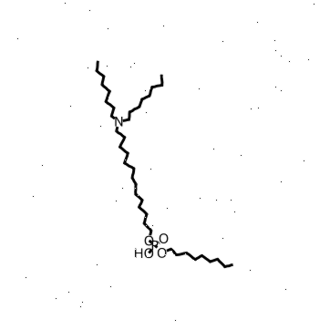 CCCCCCCCCOP(=O)(O)OCCCCCCCCCCCCCCN(CCCCCCCC)CCCCCCCC